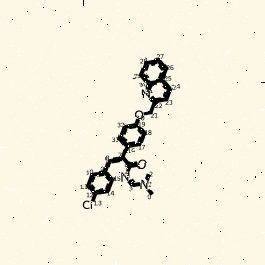 CN(C)/C=N\C(=O)C(=Cc1ccc(Cl)cc1)c1ccc(OCc2ccc3ccccc3n2)cc1